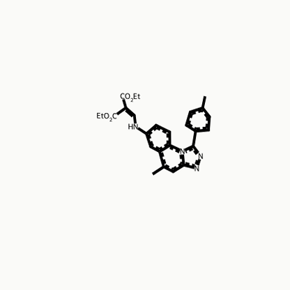 CCOC(=O)C(=CNc1ccc2c(c1)c(C)cc1nnc(-c3ccc(C)cc3)n12)C(=O)OCC